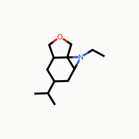 CCN1C2CC(C(C)C)CC3COCC321